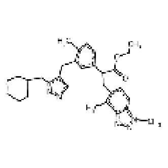 CCOC(=O)C(Cc1ccc2c(nnn2C)c1C)c1ccc(C)c(Cc2cnnn2CC2CCCCC2)c1